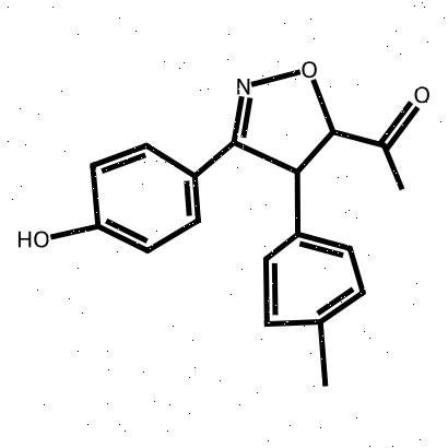 CC(=O)C1ON=C(c2ccc(O)cc2)C1c1ccc(C)cc1